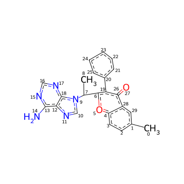 Cc1ccc2oc(C(C)n3cnc4c(N)ncnc43)c(-c3ccccc3)c(=O)c2c1